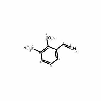 C=Cc1cccc(S(=O)(=O)O)c1S(=O)(=O)O